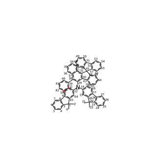 CC1(C)c2ccccc2-c2ccc(N(c3ccc4c(c3)C(C)(C)c3ccccc3-4)c3c4c(c5ccccc5c3-c3ccccc3)C3(c5ccccc5-c5ccccc53)c3ccccc3-4)cc21